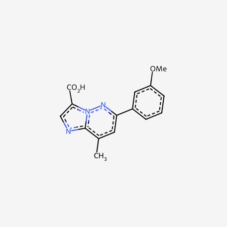 COc1cccc(-c2cc(C)c3ncc(C(=O)O)n3n2)c1